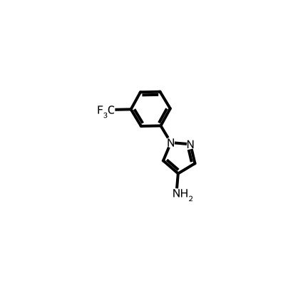 Nc1cnn(-c2cccc(C(F)(F)F)c2)c1